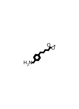 COC(=O)CCCCc1ccc(CN)cc1